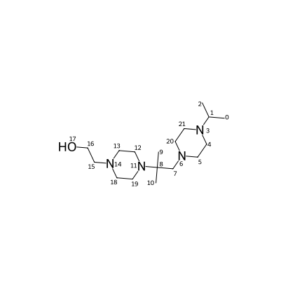 CC(C)N1CCN(CC(C)(C)N2CCN(CCO)CC2)CC1